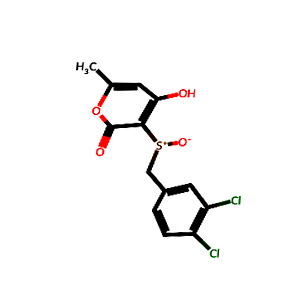 Cc1cc(O)c([S+]([O-])Cc2ccc(Cl)c(Cl)c2)c(=O)o1